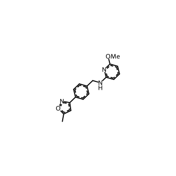 COc1cccc(NCc2ccc(-c3cc(C)on3)cc2)n1